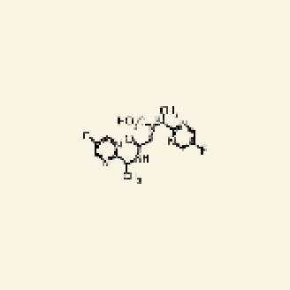 CC(NC(=O)CN(C(=O)O)[C@@H](C)c1ncc(F)cn1)c1ncc(F)cn1